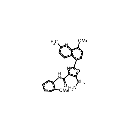 COc1ccccc1NC(=O)c1nc(-c2ccc(OC)c3nc(C(F)(F)F)ccc23)oc1[C@H](C)N